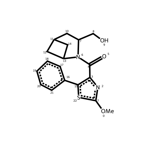 COc1nc(C(=O)N2C(CO)CC3CC2C3)c(-c2ccccc2)s1